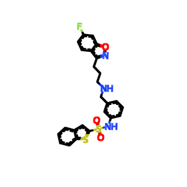 O=S(=O)(Nc1cccc(CNCCCc2noc3cc(F)ccc23)c1)c1cc2ccccc2s1